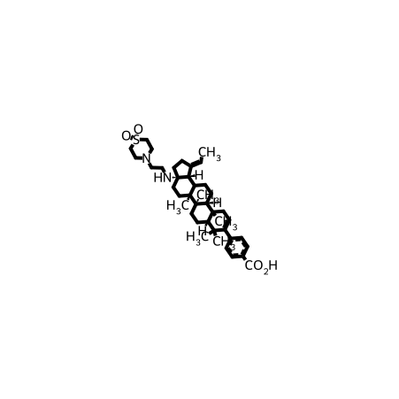 C/C=C1\CC[C@]2(NCCN3CCS(=O)(=O)CC3)CC[C@]3(C)C(CC[C@@H]4C5(C)CC=C(c6ccc(C(=O)O)cc6)C(C)(C)[C@@H]5CC[C@]43C)[C@@H]12